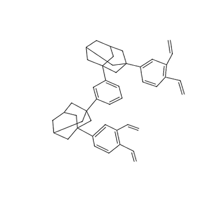 C=Cc1ccc(C23CC4CC(CC(c5cccc(C67CC8CC(C6)CC(c6ccc(C=C)c(C=C)c6)(C8)C7)c5)(C4)C2)C3)cc1C=C